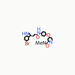 CNC(=O)c1cc(Oc2ccc(NC(=O)C=Cc3c[nH]c4ccc(Br)cc34)cc2)ccn1